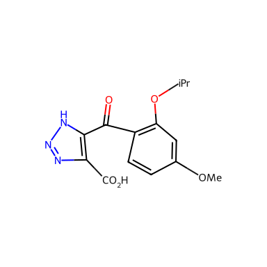 COc1ccc(C(=O)c2[nH]nnc2C(=O)O)c(OC(C)C)c1